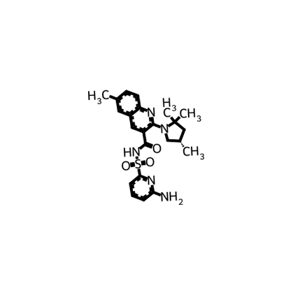 Cc1ccc2nc(N3C[C@@H](C)CC3(C)C)c(C(=O)NS(=O)(=O)c3cccc(N)n3)cc2c1